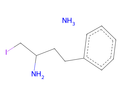 N.NC(CI)CCc1ccccc1